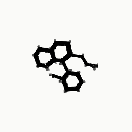 OCCc1ccc2cccnc2c1-c1ccccc1F